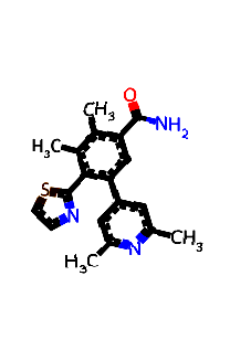 Cc1cc(-c2cc(C(N)=O)c(C)c(C)c2-c2nccs2)cc(C)n1